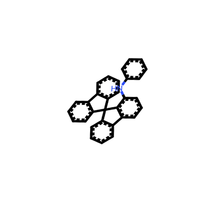 c1ccc(Nc2cccc3c2C2(c4ccccc4-c4ccccc42)c2ccccc2-3)cc1